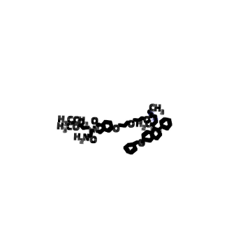 C=C(/C=C\C(=C/C)OCCCOCCCOc1ccc2c(c1)CN([C@@H](CCC(=O)OC(C)(C)C)C(N)=O)C2=O)[C@@H]1c2ccc(OCc3ccccc3)cc2CC[C@@H]1c1ccccc1